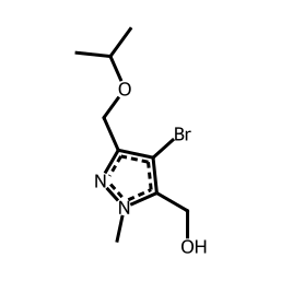 CC(C)OCc1nn(C)c(CO)c1Br